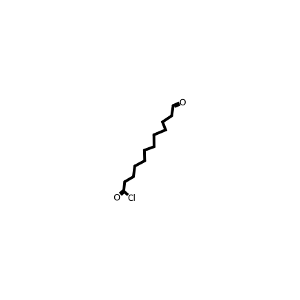 O=CCCCCCCCCCCC(=O)Cl